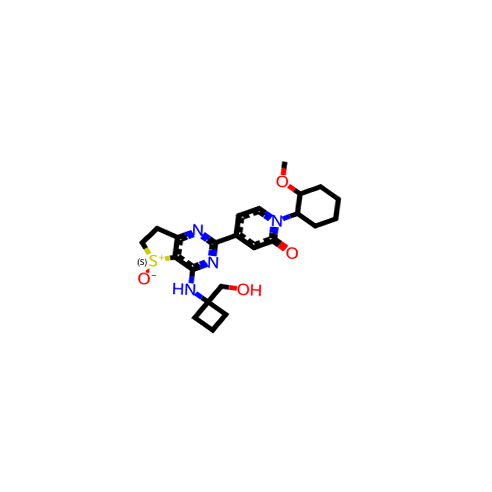 COC1CCCCC1n1ccc(-c2nc3c(c(NC4(CO)CCC4)n2)[S@+]([O-])CC3)cc1=O